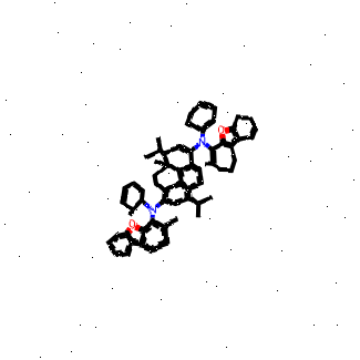 CC1=C(N(C2=CC=CCC2)C2=CC(C(C)C)C3(C)CCc4c(N(c5c(C)ccc6c5oc5ccccc56)C5C=CC=CC5C)cc(C(C)C)c5ccc2c3c45)c2oc3c(c2CCC1)C=CCC3